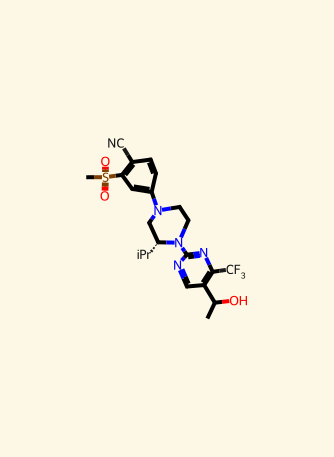 CC(O)c1cnc(N2CCN(c3ccc(C#N)c(S(C)(=O)=O)c3)C[C@H]2C(C)C)nc1C(F)(F)F